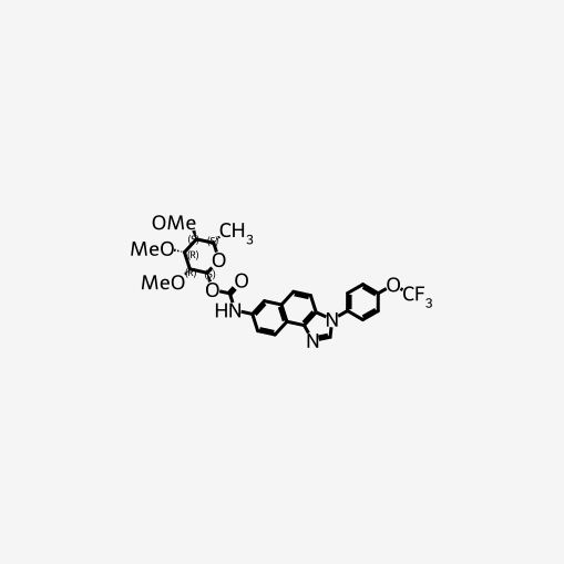 CO[C@@H]1[C@@H](OC)[C@H](C)O[C@@H](OC(=O)Nc2ccc3c(ccc4c3ncn4-c3ccc(OC(F)(F)F)cc3)c2)[C@@H]1OC